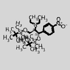 CCN(CC)[C@H](CO[Si](C)(C)C(C)(C)C)[C@@H](O[Si](C)(C)C(C)(C)C)c1ccc([N+](=O)[O-])cc1